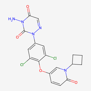 Nn1c(=O)cnn(-c2cc(Cl)c(Oc3ccc(=O)n(C4CCC4)c3)c(Cl)c2)c1=O